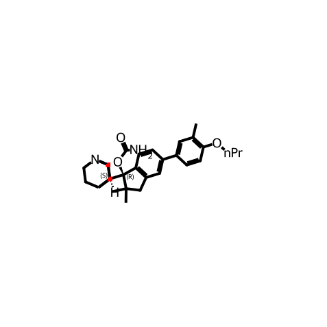 CCCOc1ccc(-c2ccc3c(c2)CC(C)(C)[C@]3(OC(N)=O)[C@@H]2CN3CCC2CC3)cc1C